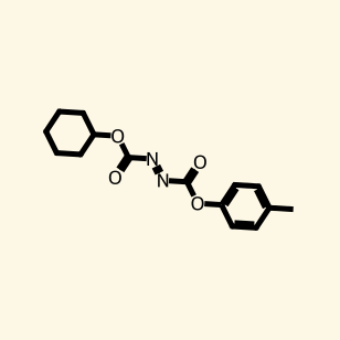 Cc1ccc(OC(=O)/N=N/C(=O)OC2CCCCC2)cc1